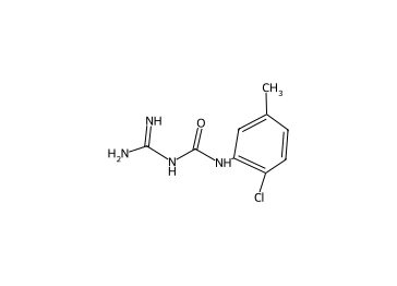 Cc1ccc(Cl)c(NC(=O)NC(=N)N)c1